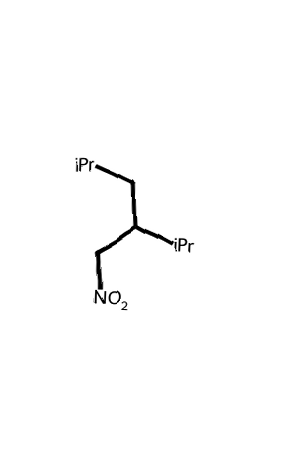 CC(C)CC(C[N+](=O)[O-])C(C)C